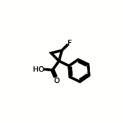 O=C(O)C1(c2ccccc2)CC1F